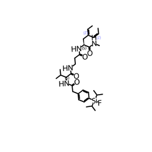 C/C=C\C(=C/C)C[C@H](NC(=O)CCNC(=O)[C@@H](NC(=O)Cc1ccc([Si](F)(C(C)C)C(C)C)cc1)C(C)C)C(=O)NC